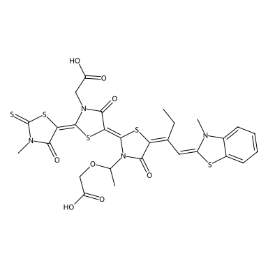 CC/C(C=C1Sc2ccccc2N1C)=c1\s/c(=c2/s/c(=C3/SC(=S)N(C)C3=O)n(CC(=O)O)c2=O)n(C(C)OCC(=O)O)c1=O